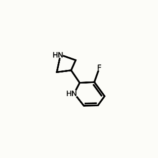 FC1=CC=CNC1C1CNC1